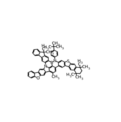 Cc1cc2c3c4c1c1cc5oc6ccccc6c5cc1n4-c1cc4c(cc1B3N(c1ccc(C(C)(C)C)cc1)c1cc3sc5cc6c(cc5c3cc1-2)C(C)(C)CCC6(C)C)C(C)(C)c1ccccc1-4